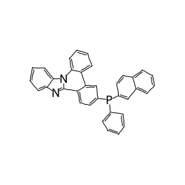 c1ccc(P(c2ccc3ccccc3c2)c2ccc3c(c2)c2ccccc2n2c4ccccc4nc32)cc1